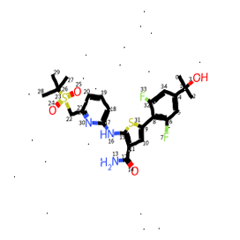 CC(C)(O)c1cc(F)c(-c2cc(C(N)=O)c(Nc3cccc(CS(=O)(=O)C(C)(C)C)n3)s2)c(F)c1